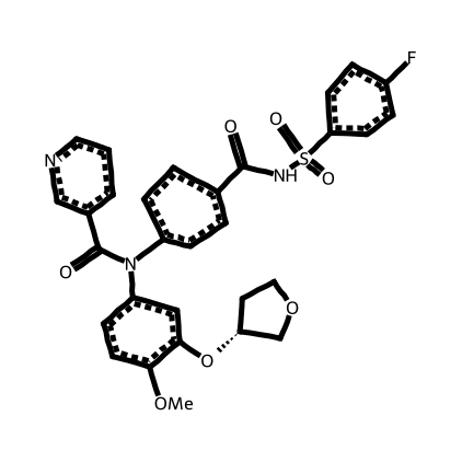 COc1ccc(N(C(=O)c2cccnc2)c2ccc(C(=O)NS(=O)(=O)c3ccc(F)cc3)cc2)cc1O[C@@H]1CCOC1